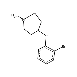 CN1CCC([CH]c2ccccc2Br)CC1